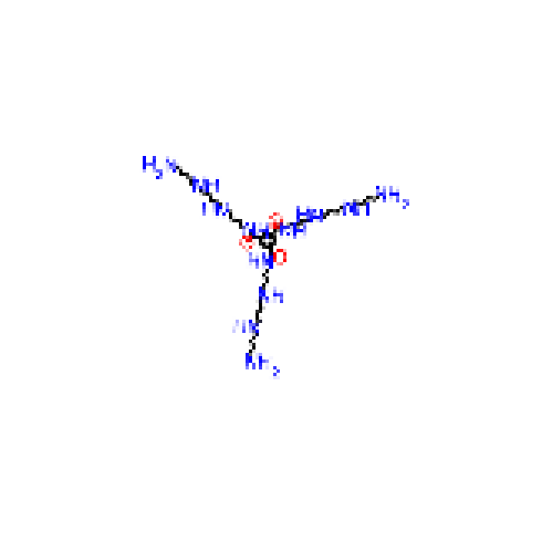 NCCCCNCCCCNCCCCNC(=O)c1cc(C(=O)NCCCCNCCCCNCCCCN)cc(C(=O)NCCCCNCCCCNCCCCN)c1